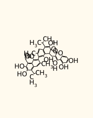 Cc1cc2c(c(O)c1-c1c(C)cc3c(C(C)C)c(O)c(O)c(C=O)c3c1O)C(Cc1c(O)c3c(O)cc(O)cc3oc1=O)C(=O)C(O)=C2C(C)C